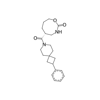 O=C1NC[C@H](C(=O)N2CCC3(CC2)CC(c2ccccc2)C3)CCCO1